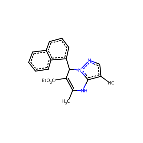 [C-]#[N+]c1cnn2c1NC(C)=C(C(=O)OCC)C2c1cccc2ccccc12